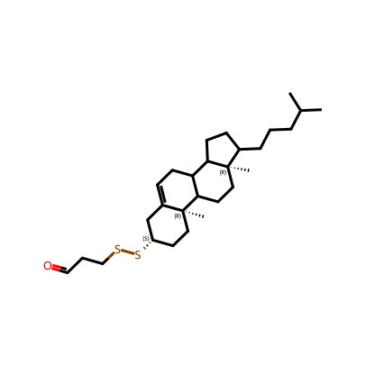 CC(C)CCCC1CCC2C3CC=C4C[C@@H](SSCCC=O)CC[C@]4(C)C3CC[C@]12C